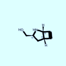 OC[C@@H]1C[C@H]2C#C[C@H]2N1